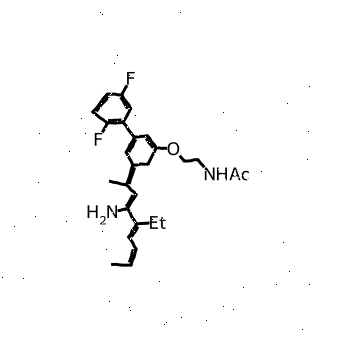 C\C=C/C=C(CC)/C(N)=C/C(C)=C1/C=C(c2cc(F)ccc2F)C=C(OCCNC(C)=O)C1